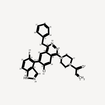 C=CC(=O)N1CCN(c2nnc(Cc3ccccc3)c3cc(-c4c(F)ccc5[nH]ncc45)c(Cl)cc23)CC1